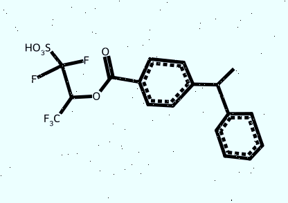 CC(c1ccccc1)c1ccc(C(=O)OC(C(F)(F)F)C(F)(F)S(=O)(=O)O)cc1